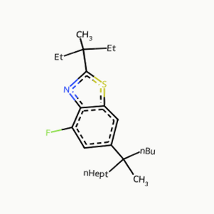 CCCCCCCC(C)(CCCC)c1cc(F)c2nc(C(C)(CC)CC)sc2c1